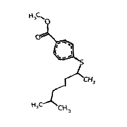 COC(=O)c1ccc(SC(C)CCCC(C)C)cc1